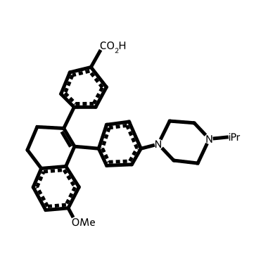 COc1ccc2c(c1)C(c1ccc(N3CCN(C(C)C)CC3)cc1)=C(c1ccc(C(=O)O)cc1)CC2